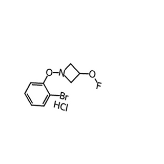 Cl.FOC1CN(Oc2ccccc2Br)C1